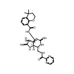 CC1(C)CCOc2c(C(=O)NC3CN4C(=N)N[C@@H](CNC(=O)c5ncccn5)[C@@H]5NC(=N)N[C@@]54[C@@H]3O)cccc21